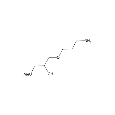 COCC(O)COCCCN